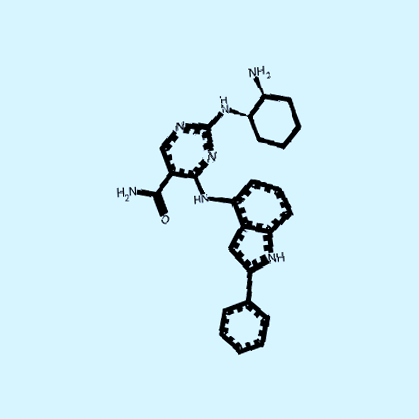 NC(=O)c1cnc(N[C@@H]2CCCC[C@@H]2N)nc1Nc1cccc2[nH]c(-c3ccccc3)cc12